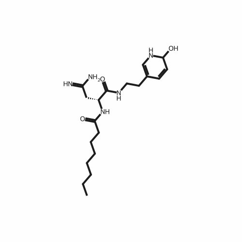 CCCCCCCC(=O)N[C@H](CC(=N)N)C(=O)NCCC1=CNC(O)C=C1